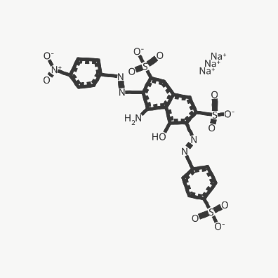 Nc1c(N=Nc2ccc([N+](=O)[O-])cc2)c(S(=O)(=O)[O-])cc2cc(S(=O)(=O)[O-])c(N=Nc3ccc(S(=O)(=O)[O-])cc3)c(O)c12.[Na+].[Na+].[Na+]